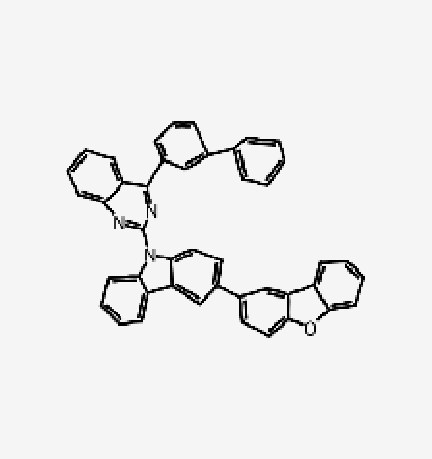 c1ccc(-c2cccc(-c3nc(-n4c5ccccc5c5cc(-c6ccc7oc8ccccc8c7c6)ccc54)nc4ccccc34)c2)cc1